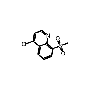 CS(=O)(=O)c1cccc2c(Cl)ccnc12